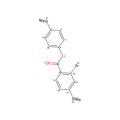 COc1ccc(CC(=O)c2ccc(OC)cc2Br)cc1